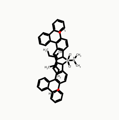 CCc1ccc2c(c1-c1ccccc1-c1ccccc1)C=C(C(C)CC)[CH]2[Zr]([Cl])([Cl])([CH]1C(C(C)CC)=Cc2c1ccc(CC)c2-c1ccccc1-c1ccccc1)[SiH](C)C